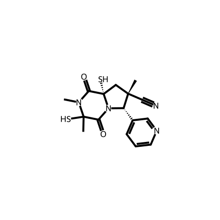 CN1C(=O)[C@@]2(S)C[C@](C)(C#N)[C@H](c3cccnc3)N2C(=O)C1(C)S